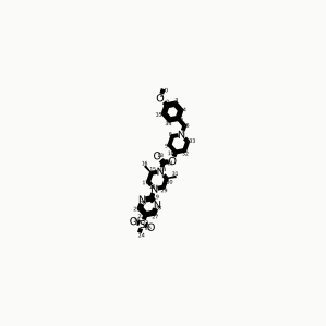 COc1ccc(CN2CCC(OC(=O)N3[C@H](C)CN(c4ncc(S(C)(=O)=O)cn4)C[C@@H]3C)CC2)cc1